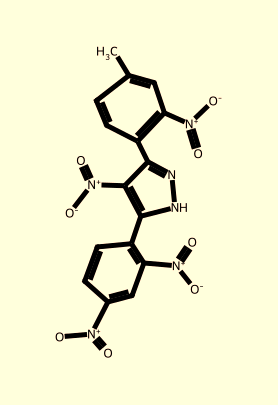 Cc1ccc(-c2n[nH]c(-c3ccc([N+](=O)[O-])cc3[N+](=O)[O-])c2[N+](=O)[O-])c([N+](=O)[O-])c1